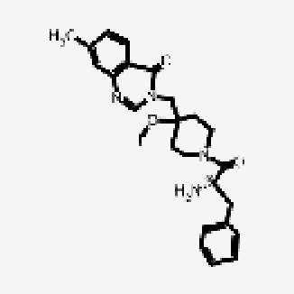 Cc1ccc2c(=O)n(CC3(OI)CCN(C(=O)[C@@H](N)Cc4ccccc4)CC3)cnc2c1